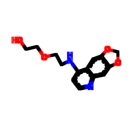 OCCOCCNc1ccnc2cc3c(cc12)OCO3